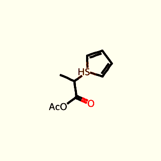 CC(=O)OC(=O)C(C)[SH]1C=CC=C1